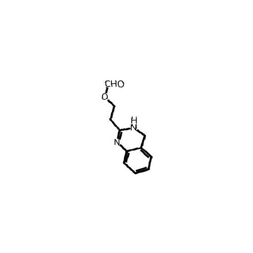 O=COCCC1=Nc2ccccc2CN1